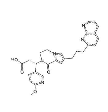 COc1ccc([C@H](CC(=O)O)N2CCn3cc(CCCc4ccc5cccnc5n4)cc3C2=O)cn1